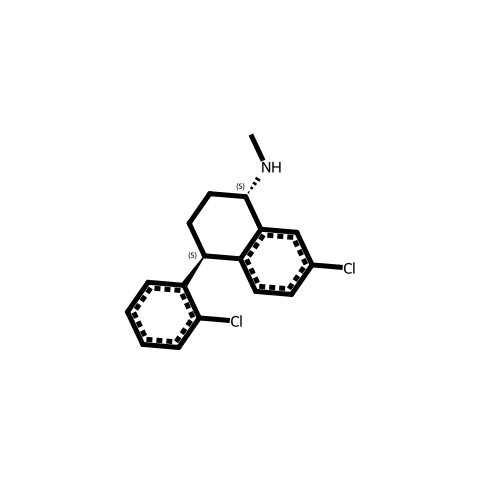 CN[C@H]1CC[C@H](c2ccccc2Cl)c2ccc(Cl)cc21